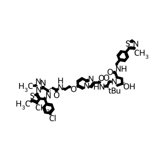 Cc1ncsc1-c1ccc(CNC(=O)C2C[C@@H](O)CN2C(=O)[C@@H](NC(=O)c2cn3cc(OCCNC(=O)C[C@@H]4N=C(c5ccc(Cl)cc5)c5c(sc(C)c5C)-n5c(C)nnc54)ccc3n2)C(C)(C)C)cc1